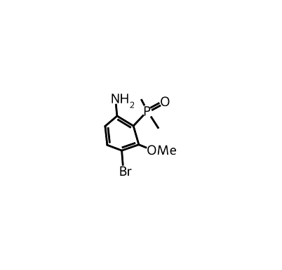 COc1c(Br)ccc(N)c1P(C)(C)=O